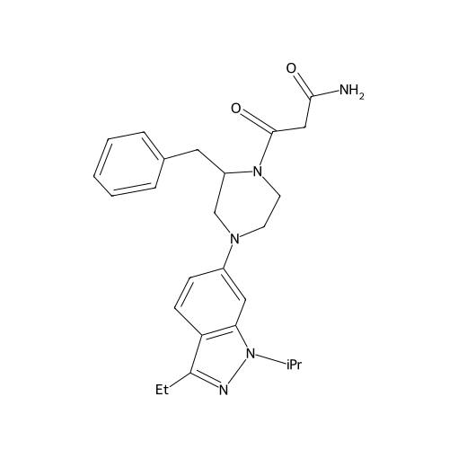 CCc1nn(C(C)C)c2cc(N3CCN(C(=O)CC(N)=O)C(Cc4ccccc4)C3)ccc12